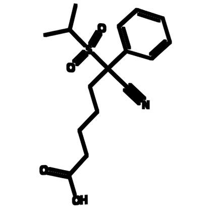 CC(C)S(=O)(=O)C(C#N)(CCCCC(=O)O)c1ccccc1